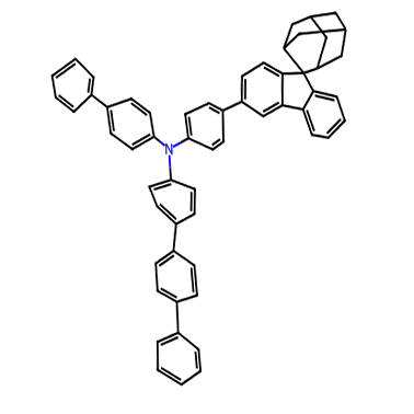 c1ccc(-c2ccc(-c3ccc(N(c4ccc(-c5ccccc5)cc4)c4ccc(-c5ccc6c(c5)-c5ccccc5C65C6CC7CC(C6)CC5C7)cc4)cc3)cc2)cc1